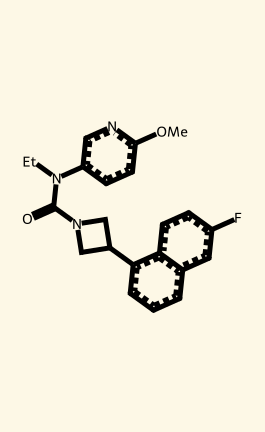 CCN(C(=O)N1CC(c2cccc3cc(F)ccc23)C1)c1ccc(OC)nc1